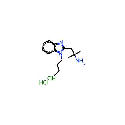 CCCCn1c(CC(C)(C)N)nc2ccccc21.Cl.Cl